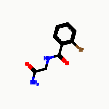 NC(=O)CNC(=O)c1ccccc1Br